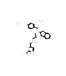 COc1ccc(CN(CC(O)CNC(=O)c2ccnc(Cl)n2)C2Cc3ccccc3C2)c(OC)c1